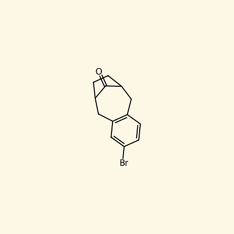 O=C1C2CCC1Cc1cc(Br)ccc1C2